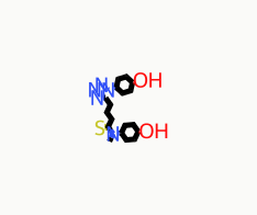 CN(C(=S)CCCc1nnnn1C1CCC(O)CC1)C1CCC(O)CC1